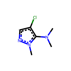 CN(C)c1c(Cl)[c]nn1C